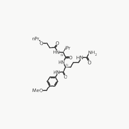 CCCOCCC(=O)N[C@H](C(=O)N[C@@H](CCCNC(N)=O)C(=O)Nc1ccc(COC)cc1)C(C)C